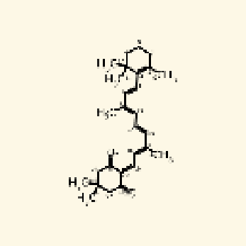 CC(C=CC1=C(C)CCCC1(C)C)=CC=CC(C)=CC=C1C(=O)CC(C)(C)CC1=O